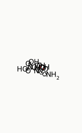 Nc1ccc(CC(CN(CCCN(CC(=O)O)CC(=O)O)CC(=O)O)N(CC(=O)O)CC(=O)O)cc1